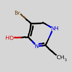 CC1=NC(O)=C(Br)[CH]N1